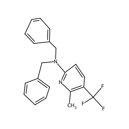 Cc1nc(N(Cc2ccccc2)Cc2ccccc2)ccc1C(F)(F)F